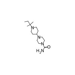 CCC(C)(C)N1CCC(N2CCN(C(N)=O)CC2)CC1